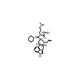 C1CCCCC1.C=CCN1C[C@H](C(=O)N(CCCN(C)C)C(=O)NCC)C[C@@H]2c3cccc4[nH]cc(c34)C[C@H]21